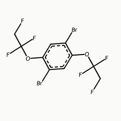 FCC(F)(F)Oc1cc(Br)c(OC(F)(F)CF)cc1Br